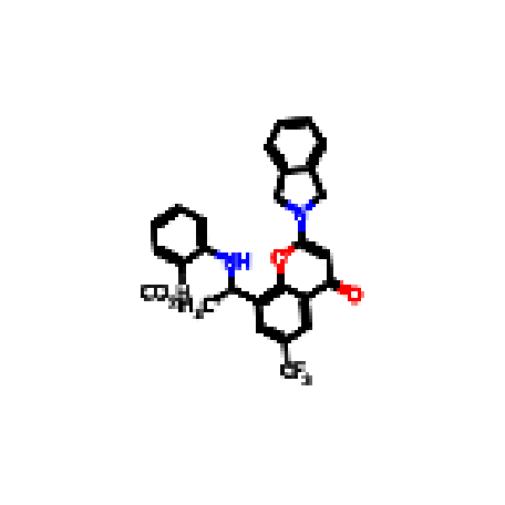 C[C@@H](Nc1ccccc1C(=O)O)c1cc(C(F)(F)F)cc2c(=O)cc(N3Cc4ccccc4C3)oc12